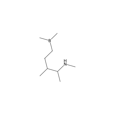 CNC(C)C(C)CCB(C)C